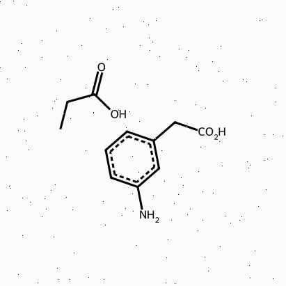 CCC(=O)O.Nc1cccc(CC(=O)O)c1